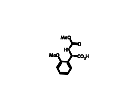 COC(=O)N[C@@H](C(=O)O)c1ccccc1OC